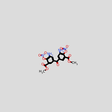 COC(=O)c1cc(C(=O)c2cc(N)c(O[N+](=O)[O-])c(C(=O)OC)c2)cc(N)c1O[N+](=O)[O-]